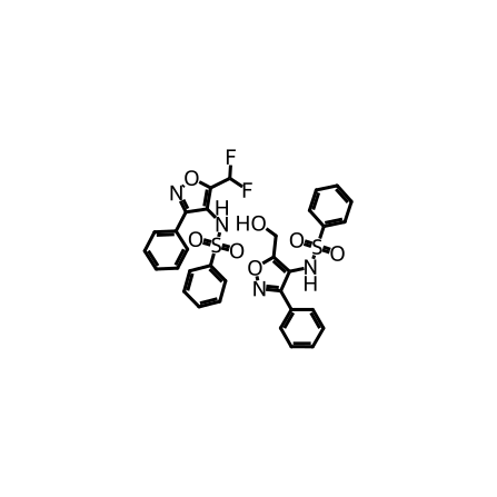 O=S(=O)(Nc1c(-c2ccccc2)noc1C(F)F)c1ccccc1.O=S(=O)(Nc1c(-c2ccccc2)noc1CO)c1ccccc1